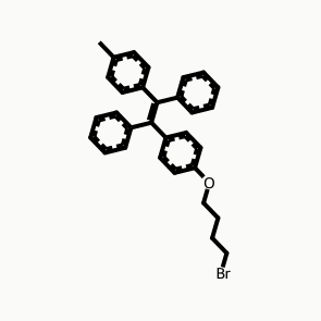 Cc1ccc(/C(=C(\c2ccccc2)c2ccc(OCCCCBr)cc2)c2ccccc2)cc1